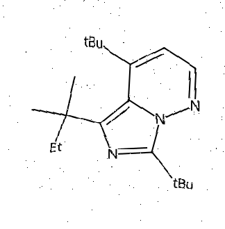 CCC(C)(C)c1nc(C(C)(C)C)n2nccc(C(C)(C)C)c12